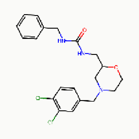 O=C(NCc1ccccc1)NCC1CN(Cc2ccc(Cl)c(Cl)c2)CCO1